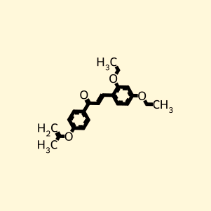 C=C(C)Oc1ccc(C(=O)/C=C/c2ccc(OCC)cc2OCC)cc1